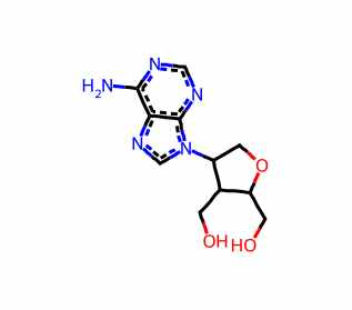 Nc1ncnc2c1ncn2C1COC(CO)C1CO